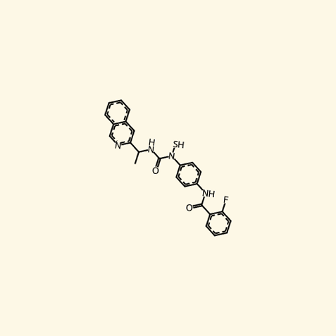 CC(NC(=O)N(S)c1ccc(NC(=O)c2ccccc2F)cc1)c1cc2ccccc2cn1